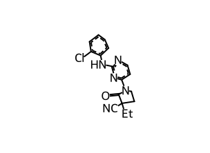 CCC1(C#N)CCN(c2ccnc(Nc3ccccc3Cl)n2)C1=O